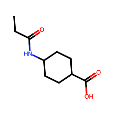 CCC(=O)NC1CCC(C(=O)O)CC1